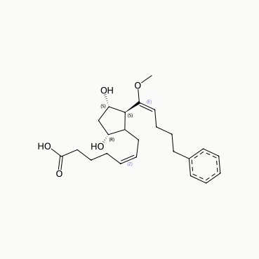 CO/C(=C/CCCc1ccccc1)[C@H]1C(C/C=C\CCCC(=O)O)[C@H](O)C[C@@H]1O